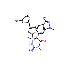 CN1C(=N)N[C@](C)(c2cc(-c3cccc(C#N)c3)cs2)[C@H](c2ccc3c(C#N)nn(C)c3c2)C1=O